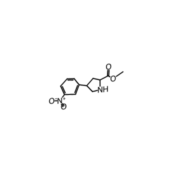 COC(=O)C1CC(c2cccc([N+](=O)[O-])c2)CN1